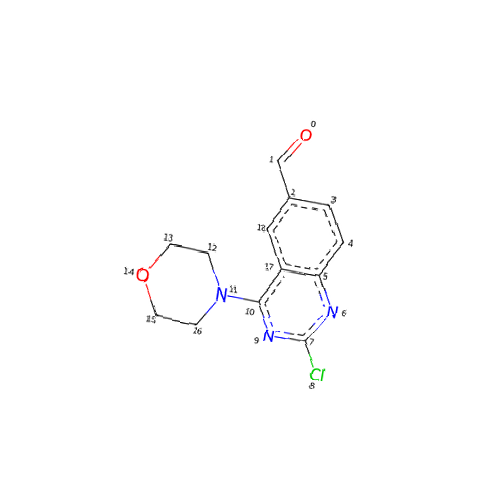 O=Cc1ccc2nc(Cl)nc(N3CCOCC3)c2c1